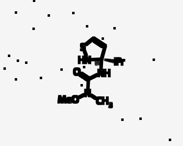 CON(C)C(=O)N[C@]1(C(C)C)C=CSN1